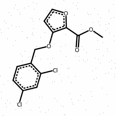 COC(=O)c1occc1OCc1ccc(Cl)cc1Cl